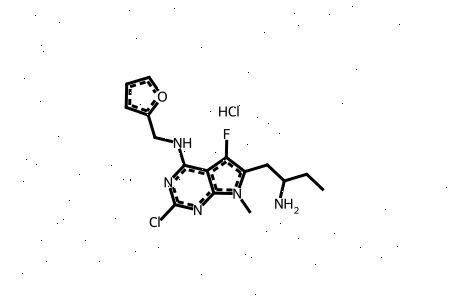 CCC(N)Cc1c(F)c2c(NCc3ccco3)nc(Cl)nc2n1C.Cl